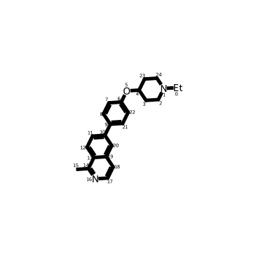 CCN1CCC(Oc2ccc(-c3ccc4c(C)nccc4c3)cc2)CC1